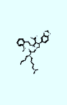 CCCCN(CCCCN(C)C)C(=O)CN1CC(c2ccc3c(c2)OCO3)C(C(=O)O)[C@@H]1CCc1ccccc1OC